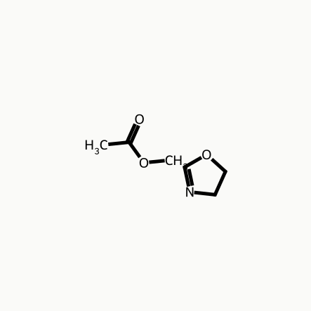 C1=NCCO1.COC(C)=O